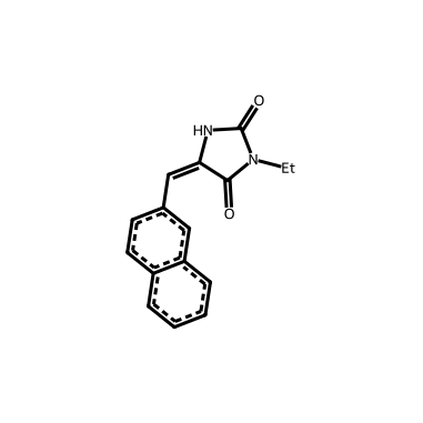 CCN1C(=O)NC(=Cc2ccc3ccccc3c2)C1=O